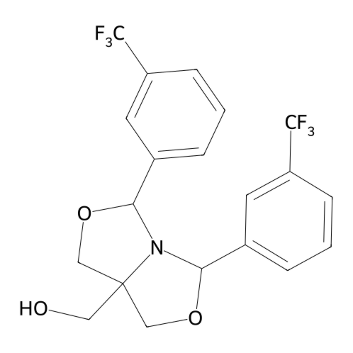 OCC12COC(c3cccc(C(F)(F)F)c3)N1C(c1cccc(C(F)(F)F)c1)OC2